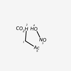 CC(=O)CC(=O)O.O=NO